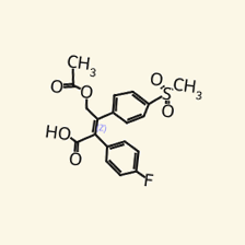 CC(=O)OC/C(=C(\C(=O)O)c1ccc(F)cc1)c1ccc(S(C)(=O)=O)cc1